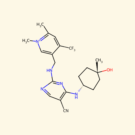 Cc1cc(C(F)(F)F)c(CNc2ncc(C#N)c(N[C@H]3CC[C@@](C)(O)CC3)n2)c[n+]1C